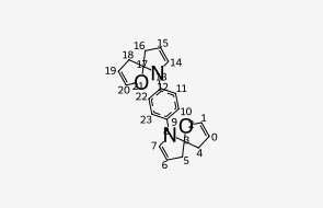 C1=COC2(C1)CC=CN2c1ccc(N2C=CCC23CC=CO3)cc1